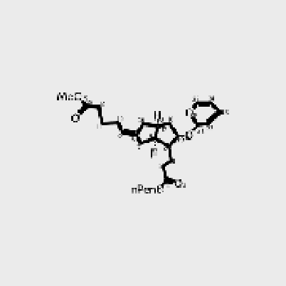 CCCCCC(=O)CCC1[C@H]2C/C(=C/CCCC(=O)OC)C[C@H]2C[C@H]1O[C@@H]1C=CC=CO1